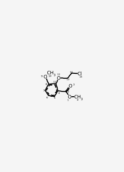 COC(=O)c1cccc(OC)c1OCCCl